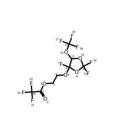 O=C(OCCOC1(F)OC(F)(F)OC1OC(F)(F)F)C(F)(F)F